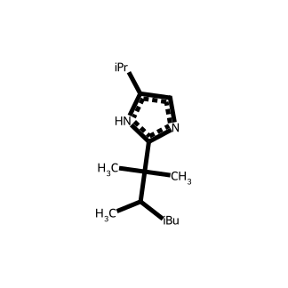 CCC(C)C(C)C(C)(C)c1ncc(C(C)C)[nH]1